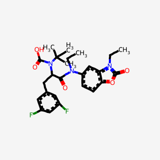 CCN(C(=O)C(Cc1cc(F)cc(F)c1)N(C(=O)O)C(C)(C)C)c1ccc2oc(=O)n(CC)c2c1